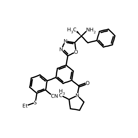 CCSc1cccc(-c2cc(C(=O)N3CCCC3C)cc(-c3nnc([C@](C)(N)Cc4ccccc4)o3)c2)c1C#N